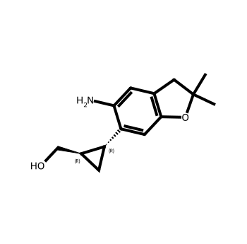 CC1(C)Cc2cc(N)c([C@@H]3C[C@H]3CO)cc2O1